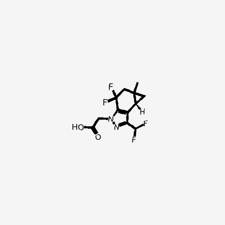 CC12C[C@@H]1c1c(C(F)F)nn(CC(=O)O)c1C(F)(F)C2